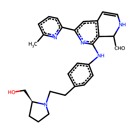 Cc1cccc(-c2cc3c(c(Nc4ccc(CCN5CCC[C@H]5CO)cc4)n2)C(C=O)NC=C3)n1